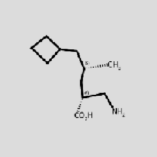 C[C@@H](CC1CCC1)C[C@H](CN)C(=O)O